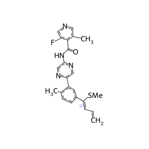 C=C/C=C(\SC)c1ccc(C)c(-c2cnc(NC(=O)c3c(C)cncc3F)cn2)c1